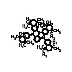 CC1(C)CCC(C)(C)c2cc(N3c4cc5c(cc4B4c6cc7c(cc6N(c6ccc8c(c6)C(C)(C)CCC8(C)C)c6cccc3c64)C(C)(C)CCC7(C)C)C(C)(C)CCC5(C)C)ccc21